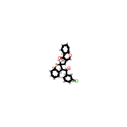 CC1(Cc2coc3ccccc3c2=O)Sc2ccccc2C1C(=O)c1cccc(Cl)c1